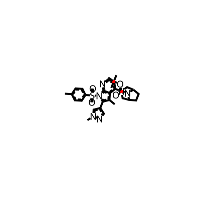 Cc1ccc(S(=O)(=O)n2c(-c3cnn(C)c3)c(C)c3c(N4CC5CCC(C4)N5C(=O)OC(C)(C)C)ccnc32)cc1